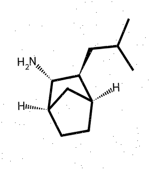 CC(C)C[C@H]1[C@H]2CC[C@H](C2)[C@@H]1N